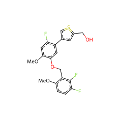 COc1cc(F)c(-c2csc(CO)c2)cc1OCc1c(OC)ccc(F)c1F